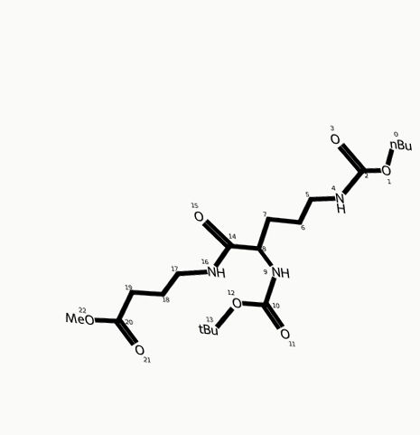 CCCCOC(=O)NCCCC(NC(=O)OC(C)(C)C)C(=O)NCCCC(=O)OC